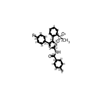 CS(=O)(=O)c1ccccc1-c1nc(NC(=O)c2ccc(F)cc2)sc1-c1ccc(F)cc1